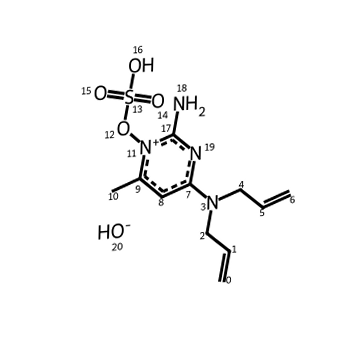 C=CCN(CC=C)c1cc(C)[n+](OS(=O)(=O)O)c(N)n1.[OH-]